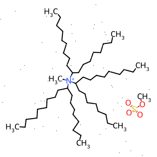 CCCCCCCCCC(CCCCCCCC)[N+](C)(C(CCCCCCCC)CCCCCCCCC)C(CCCCCCCC)CCCCCCCCC.COS(=O)(=O)[O-]